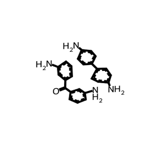 Nc1ccc(-c2ccc(N)cc2)cc1.Nc1cccc(C(=O)c2cccc(N)c2)c1